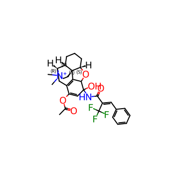 CC(=O)OC1=CC(O)(NC(=O)C(=Cc2ccccc2)C(F)(F)F)C2O[C@H]3CCC[C@H]4[C@H]5CC1=C2[C@@]34CC[N+]5(C)C